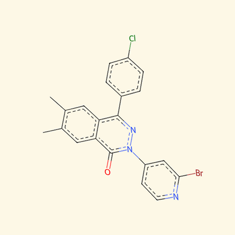 Cc1cc2c(-c3ccc(Cl)cc3)nn(-c3ccnc(Br)c3)c(=O)c2cc1C